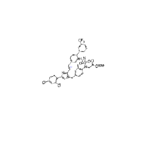 COC(=O)CN(c1ccc(Cn2cc(-c3ccc(Cl)cc3Cl)nc2/C=C/c2ccc(-c3cccc(C(F)(F)F)c3)cc2)cc1C)S(N)(=O)=O